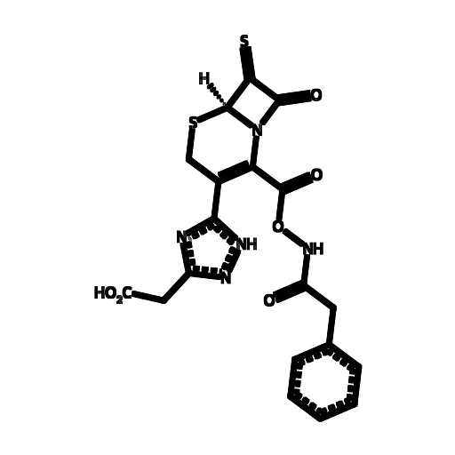 O=C(O)Cc1n[nH]c(C2=C(C(=O)ONC(=O)Cc3ccccc3)N3C(=O)C(=S)[C@@H]3SC2)n1